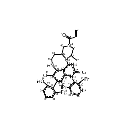 C=CC(=O)N1CC(C)N2c3nc(=O)n(-c4c(C(C)C)ncnc4C(C)C)c4c(F)c(-c5c(O)cccc5F)c(Cl)c(c34)NCCC2C1